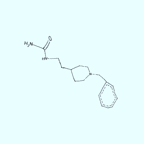 NC(=O)NCCC1CCN(Cc2ccccc2)CC1